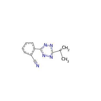 C=C(C)c1nnc(-c2ccccc2C#N)nn1